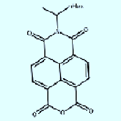 CCCCCCC(C)N1C(=O)c2ccc3c4c(ccc(c24)C1=O)C(=O)OC3=O